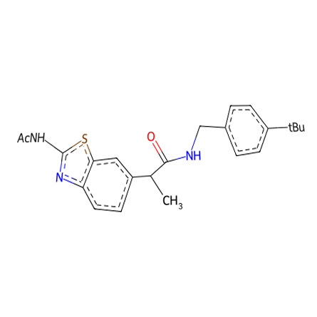 CC(=O)Nc1nc2ccc(C(C)C(=O)NCc3ccc(C(C)(C)C)cc3)cc2s1